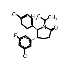 CC(C)N1C(=O)CC[C@H](c2cc(F)cc(Cl)c2)[C@H]1C1=CC=C(Cl)CC1